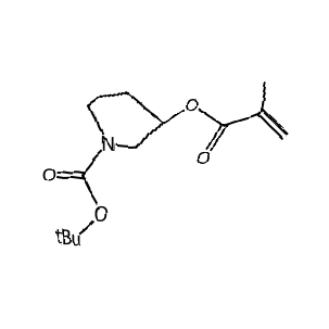 C=C(C)C(=O)OC1CCN(C(=O)OC(C)(C)C)C1